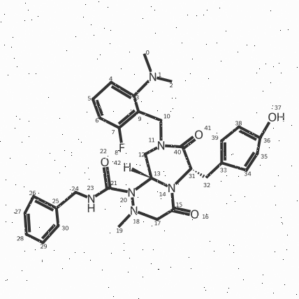 CN(C)c1cccc(F)c1CN1C[C@@H]2N(C(=O)CN(C)N2C(=O)NCc2ccccc2)[C@@H](Cc2ccc(O)cc2)C1=O